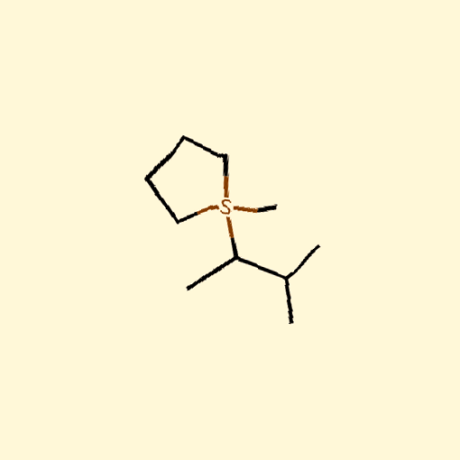 CC(C)C(C)S1(C)CCCC1